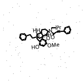 COc1cc(O)c2c3c1O[C@H]1[C@H](N(CC(C)C)C(=O)C#Cc4ccccc4)CC[C@H]4[C@@H](C2)N(CCc2ccccc2)CC[C@@]341